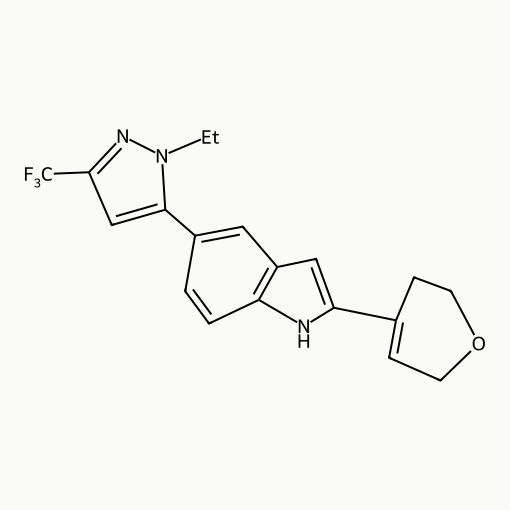 CCn1nc(C(F)(F)F)cc1-c1ccc2[nH]c(C3=CCOCC3)cc2c1